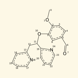 COc1ccc(C=O)cc1OC(Cc1ccccn1)c1ccccn1